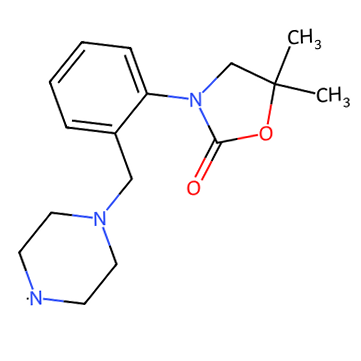 CC1(C)CN(c2ccccc2CN2CC[N]CC2)C(=O)O1